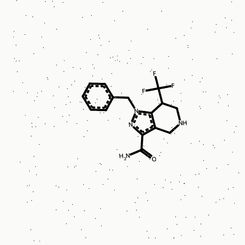 NC(=O)c1nn(Cc2ccccc2)c2c1CNCC2C(F)(F)F